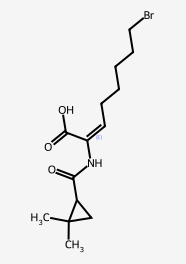 CC1(C)CC1C(=O)N/C(=C/CCCCCBr)C(=O)O